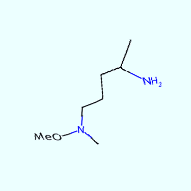 CON(C)CCCC(C)N